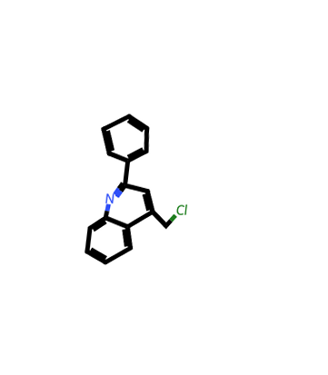 ClCc1cc(-c2ccccc2)nc2ccccc12